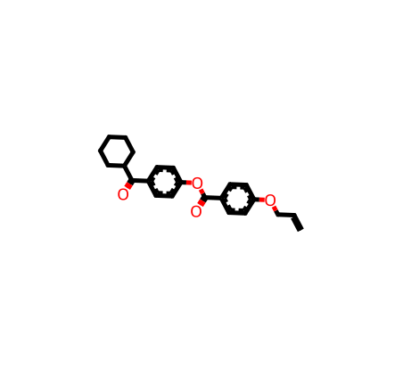 C=CCOc1ccc(C(=O)Oc2ccc(C(=O)C3CCCCC3)cc2)cc1